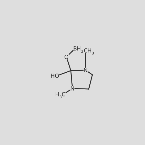 BOC1(O)N(C)CCN1C